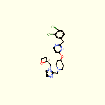 Clc1ccc(Cc2nccc(OC3CCN(Cc4nccn4C[C@@H]4CCO4)CC3)n2)cc1Cl